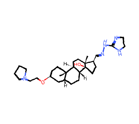 C[C@]12CC[C@H](OCCN3CCCC3)C[C@H]1CC[C@@H]1[C@@H]2CC[C@]2(C)[C@@H](/C=N/NC3=NCCN3)CC[C@]12O